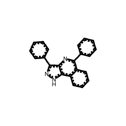 c1ccc(-c2nc3c(-c4ccccc4)n[nH]c3c3ccccc23)cc1